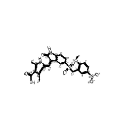 COc1ccc([N+](=O)[O-])cc1CS(=O)(=O)c1ccc2c(c1)/C(=C/c1[nH]c(C)c(C(=O)O)c1C)C(=O)N2